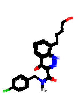 CN(Cc1ccc(Cl)cc1)C(=O)c1n[nH]c2c(CCCCO)cccc2c1=O